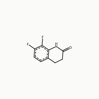 O=C1CCc2ccc(F)c(F)c2N1